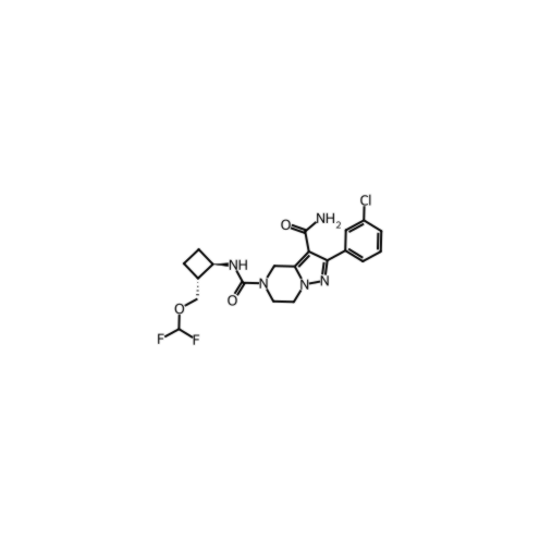 NC(=O)c1c(-c2cccc(Cl)c2)nn2c1CN(C(=O)N[C@@H]1CC[C@H]1COC(F)F)CC2